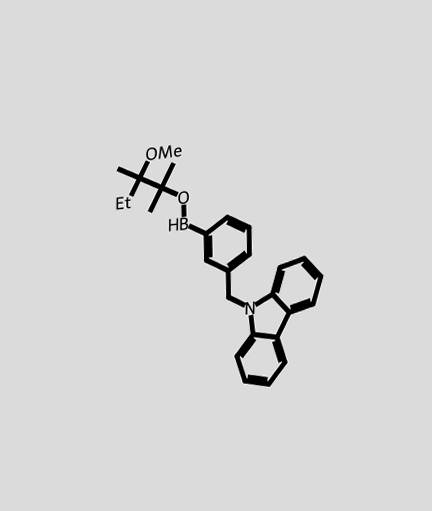 CCC(C)(OC)C(C)(C)OBc1cccc(Cn2c3ccccc3c3ccccc32)c1